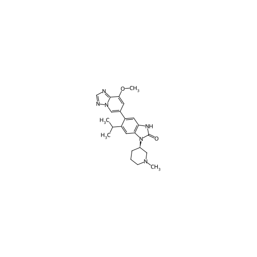 COc1cc(-c2cc3[nH]c(=O)n([C@@H]4CCCN(C)C4)c3cc2C(C)C)cn2ncnc12